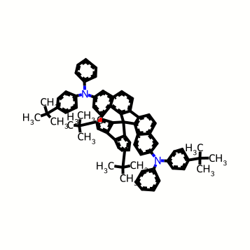 CC(C)(C)c1ccc(N(c2ccccc2)c2ccc3c4c(ccc3c2)-c2ccc3cc(N(c5ccccc5)c5ccc(C(C)(C)C)cc5)ccc3c2C42c3ccc(C(C)(C)C)cc3-c3cc(C(C)(C)C)ccc32)cc1